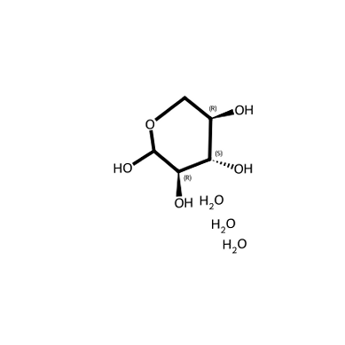 O.O.O.OC1OC[C@@H](O)[C@H](O)[C@H]1O